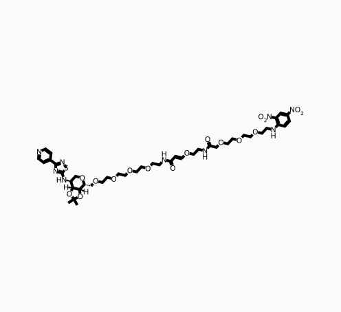 CC1(C)O[C@@H]2[C@H](O1)[C@@H](Nc1nc(-c3ccncc3)ns1)CO[C@@H]2COCCOCCOCCOCCNC(=O)C=COCCNC(=O)COCCOCCOCCNc1ccc([N+](=O)[O-])cc1[N+](=O)[O-]